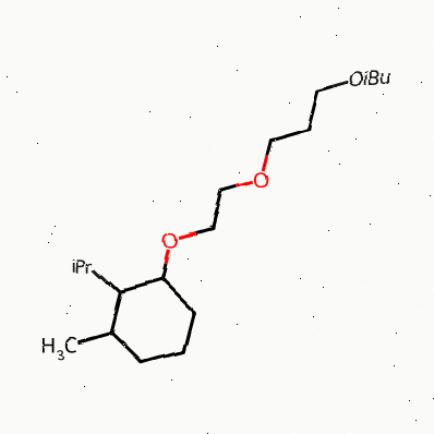 CC(C)COCCCOCCOC1CCCC(C)C1C(C)C